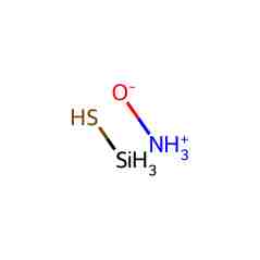 [NH3+][O-].[SiH3]S